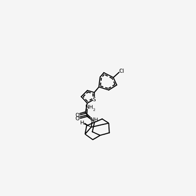 NC(=O)[C@]12CC3CC(C1)[C@@H](NC(=O)c1ccc(-c4ccc(Cl)cc4)s1)C(C3)C2